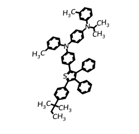 CCC(C)(C)c1ccc(-c2sc(-c3ccc(N(c4ccc(N(c5cccc(C)c5)C(C)C)cc4)c4cccc(C)c4)cc3)c(-c3ccccc3)c2-c2ccccc2)cc1